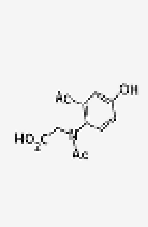 CC(=O)c1cc(O)ccc1N(CC(=O)O)C(C)=O